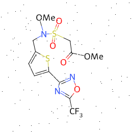 COC(=O)CS(=O)(=O)N(Cc1ccc(-c2noc(C(F)(F)F)n2)s1)OC